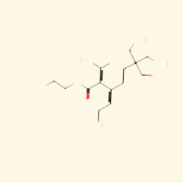 CCC=C(CCC(CO)(CO)CO)C(C(=O)OCCO)=C(C)C